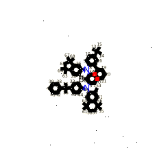 Cc1cc2c3c(c1)N(c1ccc(C(C)(C)C)cc1-c1ccccc1)c1cc4c(cc1B3c1cc(C(C)(C)c3ccccc3)ccc1N2c1cc2c(cc1C)C(C)(C)CCC2(C)C)C(C)(C)CC4(C)C